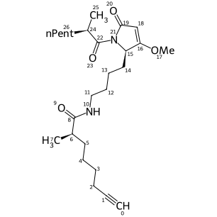 C#CCCCC[C@@H](C)C(=O)NCCCC[C@@H]1C(OC)=CC(=O)N1C(=O)[C@H](C)CCCCC